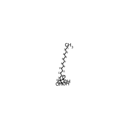 CCCCCCCCCCCCCCCC(CO)(CO)C(=O)O